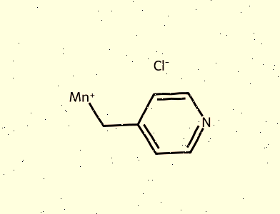 [Cl-].[Mn+][CH2]c1ccncc1